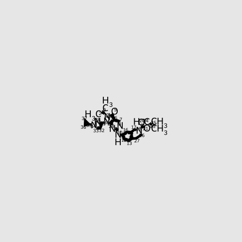 CC(C)n1c(=O)c2cnc(Nc3ccc4c(c3)CN(C(=O)OC(C)(C)C)CC4)nc2n1-c1ccn(C2CC2)n1